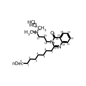 CCCCCCCCCCCCCCCCCc1nc2ccccc2c(=O)n1CCCN(C)C.Cl.Cl